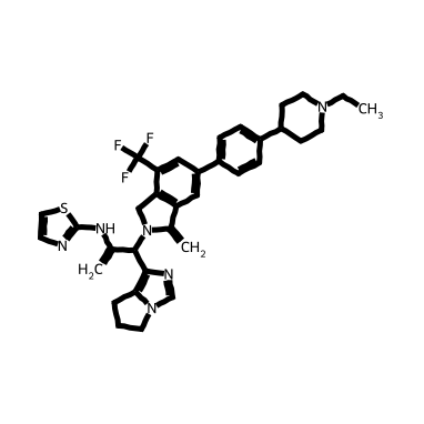 C=C(Nc1nccs1)C(c1ncn2c1CCC2)N1Cc2c(cc(-c3ccc(C4CCN(CC)CC4)cc3)cc2C(F)(F)F)C1=C